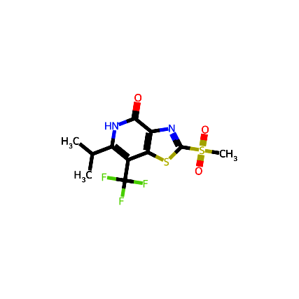 CC(C)c1[nH]c(=O)c2nc(S(C)(=O)=O)sc2c1C(F)(F)F